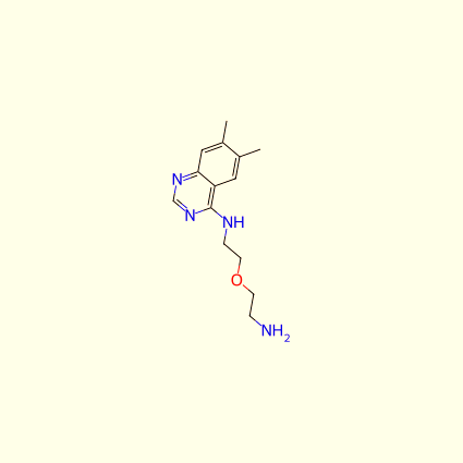 Cc1cc2ncnc(NCCOCCN)c2cc1C